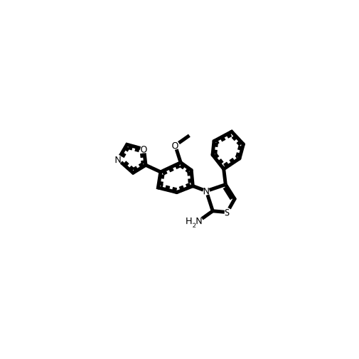 COc1cc(N2C(c3ccccc3)=CSC2N)ccc1-c1cnco1